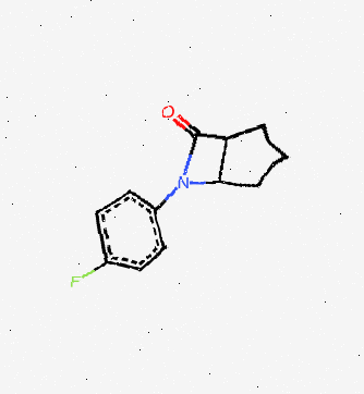 O=C1C2CCCC2N1c1ccc(F)cc1